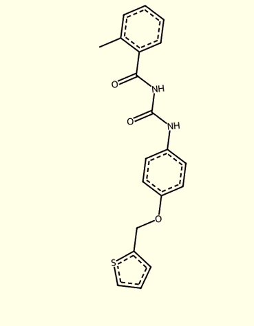 Cc1ccccc1C(=O)NC(=O)Nc1ccc(OCc2cccs2)cc1